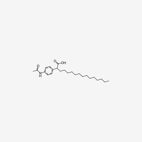 CCCCCCCCCCCCCCC(C(=O)O)c1ccc(NC(C)=O)cc1